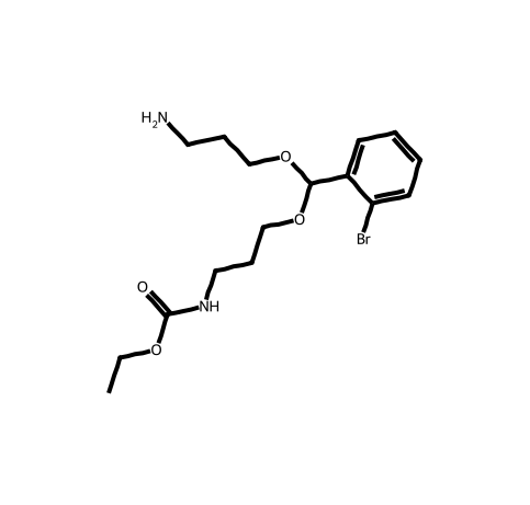 CCOC(=O)NCCCOC(OCCCN)c1ccccc1Br